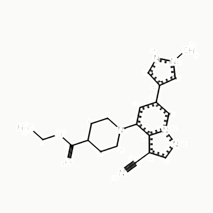 CCOC(=O)C1CCN(c2cc(-c3cnn(C)c3)cn3ncc(C#N)c23)CC1